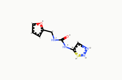 O=C(NCc1ccco1)Nc1cnns1